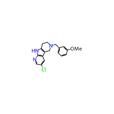 COc1cccc(CN2CCc3[nH]c4ncc(Cl)cc4c3C2)c1